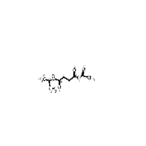 CC(=O)OC(=O)CCC(=O)OC(C)C